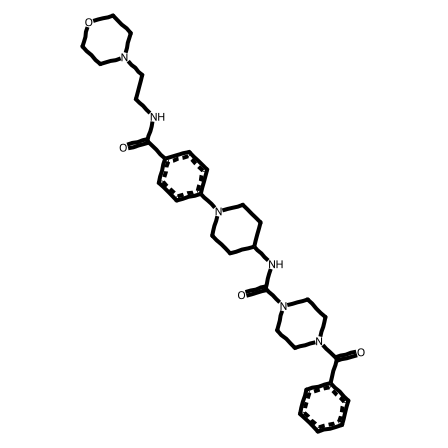 O=C(NCCN1CCOCC1)c1ccc(N2CCC(NC(=O)N3CCN(C(=O)c4ccccc4)CC3)CC2)cc1